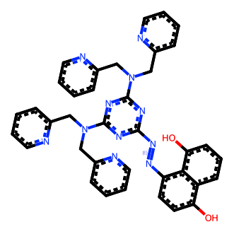 Oc1ccc(/N=N/c2nc(N(Cc3ccccn3)Cc3ccccn3)nc(N(Cc3ccccn3)Cc3ccccn3)n2)c2c(O)cccc12